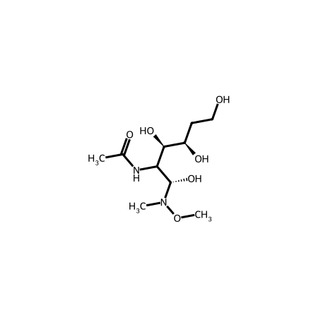 CON(C)[C@@H](O)C(NC(C)=O)[C@@H](O)[C@H](O)CCO